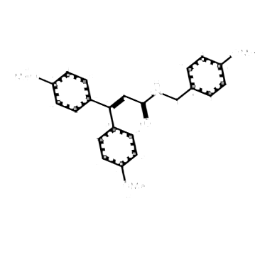 COc1ccc(CNC(=O)C=C(c2ccc(OC)cc2)c2ccc(OC)cc2)cc1